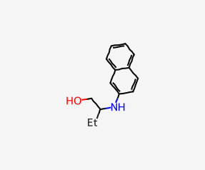 CCC(CO)Nc1ccc2ccccc2c1